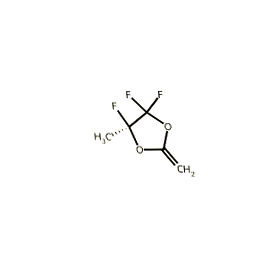 C=C1OC(F)(F)[C@](C)(F)O1